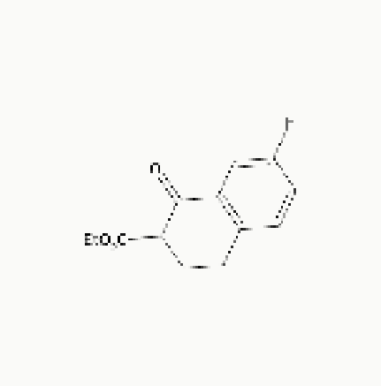 CCOC(=O)C1CCc2ccc(F)cc2C1=O